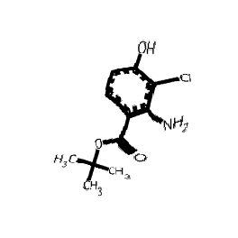 CC(C)(C)OC(=O)c1ccc(O)c(Cl)c1N